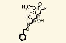 CCO[PH](=O)C(F)C[C@@H](O)[C@@H](O)[C@@H](O)C=NOCc1ccccc1